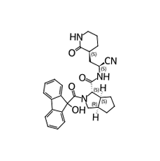 N#C[C@H](C[C@@H]1CCCNC1=O)NC(=O)[C@@H]1[C@H]2CCC[C@H]2CN1C(=O)C1(O)c2ccccc2-c2ccccc21